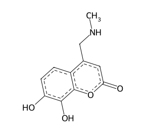 CNCc1cc(=O)oc2c(O)c(O)ccc12